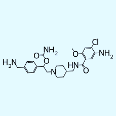 COc1cc(Cl)c(N)cc1C(=O)NCC1CCN(CC(OC(N)=O)c2ccc(CN)cc2)CC1